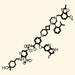 COc1ccc(CN2CCN(C3CC4(CCN(c5ccc(C(=O)NS(=O)(=O)c6cnc(NCC7CCC(C)(O)CC7)c([N+](=O)[O-])c6)c(Oc6cnc7[nH]cc(F)c7c6)c5)CC4)C3)[C@H](c3ccccc3C(C)C)C2)c2nc(C)oc12